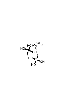 [MgH2].[OH][Ti]([OH])([OH])[OH].[OH][Ti]([OH])([OH])[OH].[SrH2]